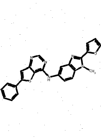 Cn1c(-c2ccco2)nc2cc(Nc3ncnc4cc(-c5ccccc5)sc34)ccc21